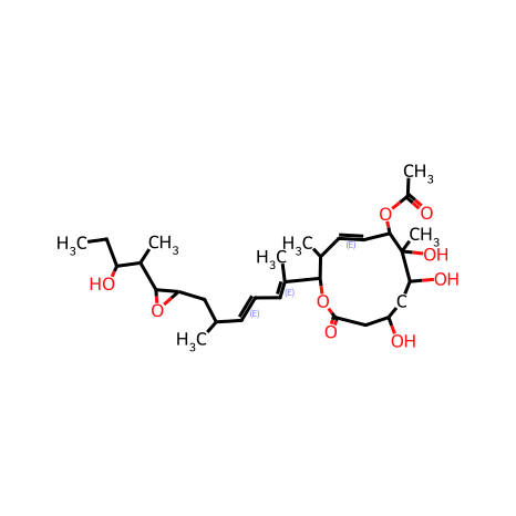 CCC(O)C(C)C1OC1CC(C)/C=C/C=C(\C)C1OC(=O)CC(O)CC(O)C(C)(O)C(OC(C)=O)/C=C/C1C